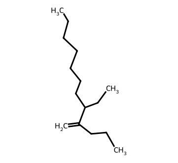 C=C(CCC)C(CC)CCCCCCC